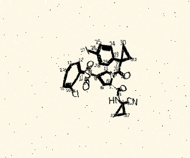 N#CC1(NC(=O)[C@@H]2C[C@@H](S(=O)(=O)c3ccccc3Cl)CN2C(=O)C2(c3ccc(I)cc3)CC2)CC1